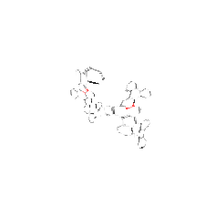 c1ccc(-c2ccc3c4c(cccc24)-c2ccccc2-3)c(-c2c3ccccc3c(-c3ccc(-c4ccc(-c5c6ccccc6c(-c6cccc7c6oc6ccccc67)c6ccccc56)c(-c5ccc6c7ccccc7c7ccccc7c6c5)c4)c4oc5ccccc5c34)c3ccccc23)c1